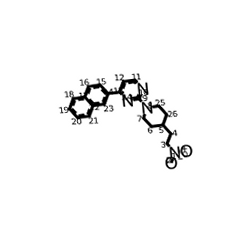 O=[N+]([O-])CCC1CCN(c2nccc(-c3ccc4ccccc4c3)n2)CC1